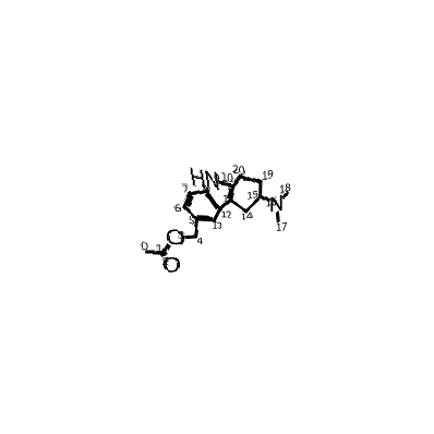 CC(=O)OCc1ccc2[nH]c3c(c2c1)CC(N(C)C)CC3